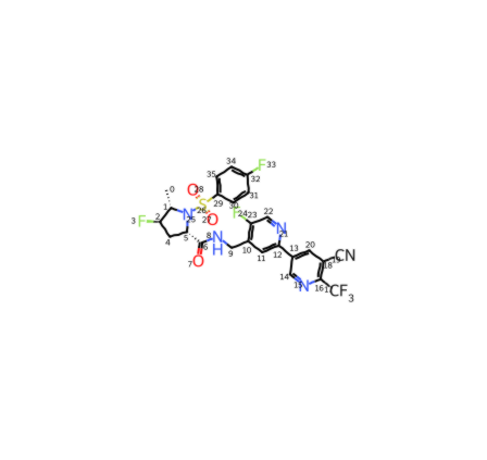 C[C@H]1[C@H](F)C[C@@H](C(=O)NCc2cc(-c3cnc(C(F)(F)F)c(C#N)c3)ncc2F)N1S(=O)(=O)c1ccc(F)cc1